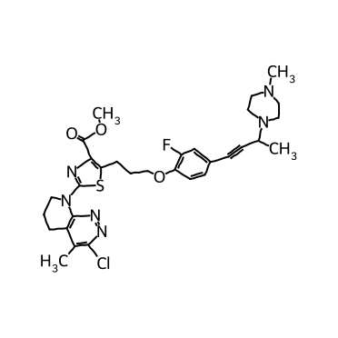 COC(=O)c1nc(N2CCCc3c2nnc(Cl)c3C)sc1CCCOc1ccc(C#CC(C)N2CCN(C)CC2)cc1F